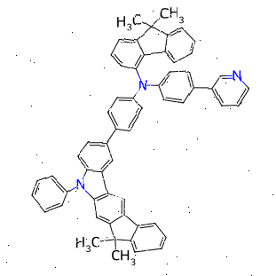 CC1(C)c2ccccc2-c2cc3c4cc(-c5ccc(N(c6ccc(-c7cccnc7)cc6)c6cccc7c6-c6ccccc6C7(C)C)cc5)ccc4n(-c4ccccc4)c3cc21